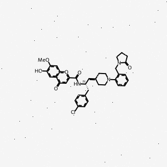 COc1cc2oc(C(=O)N[C@H](C=C3CCN(c4ccccc4CN4CCCC4=O)CC3)Cc3ccc(Cl)cc3)cc(=O)c2cc1O